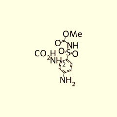 COC(=O)NS(=O)(=O)c1ccc(N)cc1.NC(=O)O